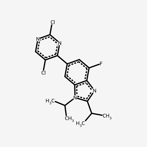 CC(C)c1nc2c(F)cc(-c3nc(Cl)ncc3Cl)cc2n1C(C)C